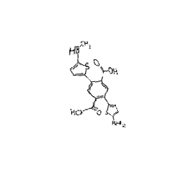 Bc1ccc(-c2cc(C(=O)O)c(-c3ccc(BC)s3)cc2C(=O)O)s1